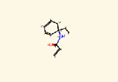 C=CC(=O)NC1(CC)C=CC=CC1